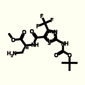 COC(=O)[C@H](CN)NC(=O)c1sc(NC(=O)OC(C)(C)C)nc1C(F)(F)F